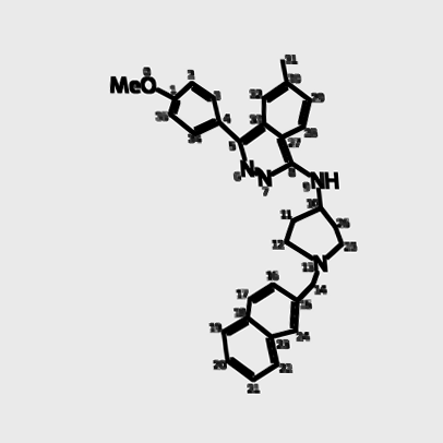 COc1ccc(-c2nnc(NC3CCN(Cc4ccc5ccccc5c4)CC3)c3ccc(C)cc23)cc1